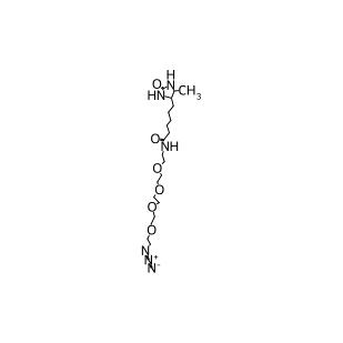 CC1NC(=O)NC1CCCCCC(=O)NCCOCCOCCOCCOCCN=[N+]=[N-]